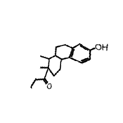 CCC(=O)C1(C)CCC2c3ccc(O)cc3CCC2C1C